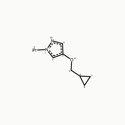 CC(C)n1cc(OCC2CC2)cn1